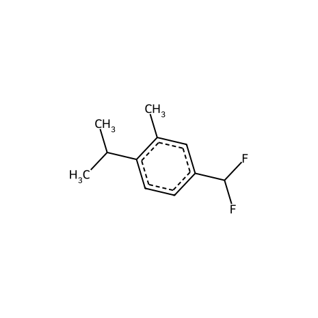 Cc1cc(C(F)F)ccc1C(C)C